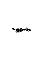 C=C/C=C(CCC)\C(F)=C/CC#CC1CCC(c2ccc(OCCC=C)c(F)c2F)CC1